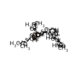 CC(C)CC(=O)SCCOP(=O)(OCSC(=O)CC(C)C)C(F)(F)c1ccc2sc(C(=O)N[C@H]3CCC[C@H]4CC[C@@H](C(=O)N5CC(CS(C)(=N)=O)C5)N4C3=O)cc2c1